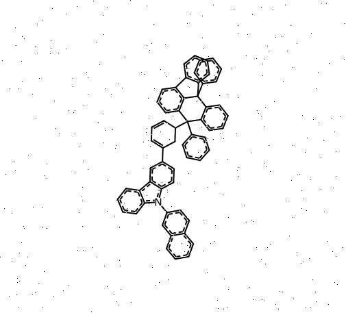 C1=CC(C2(c3ccccc3)c3ccccc3C3(c4ccccc4)c4ccccc4-c4cccc2c43)CC(c2ccc3c(c2)c2ccccc2n3-c2ccc3ccccc3c2)=C1